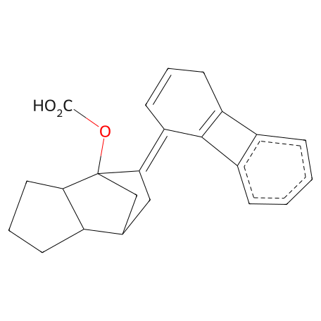 O=C(O)OC12CC(CC1=C1C=CCC3=C1c1ccccc13)C1CCCC12